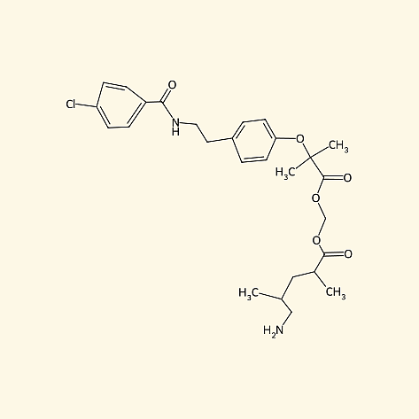 CC(CN)CC(C)C(=O)OCOC(=O)C(C)(C)Oc1ccc(CCNC(=O)c2ccc(Cl)cc2)cc1